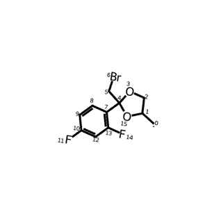 [CH2]C1COC(CBr)(c2ccc(F)cc2F)O1